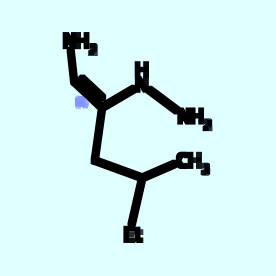 CCC(C)C/C(=C/N)NN